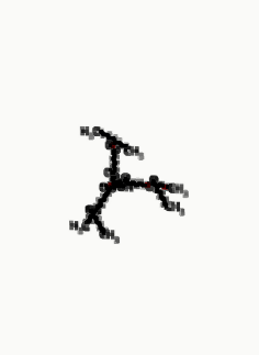 CCCCCCC(CCCC)C(=O)OCCCCCCC(=O)OCC(CO)(COC(=O)CCCCCCOC(=O)C(CCCC)CCCCCC)COC(=O)CCCCCCOC(=O)C(CCCC)CCCCCC